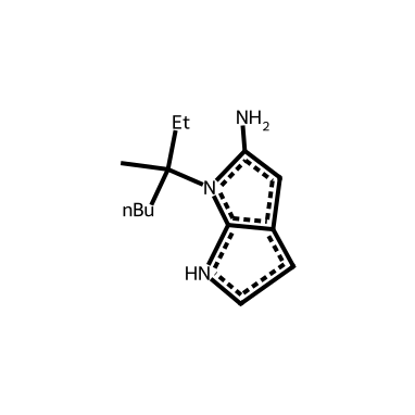 CCCCC(C)(CC)n1c(N)cc2cc[nH]c21